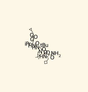 CC(C)[C@@H](COC(=O)OCC1CC1)NC(=O)N[C@H](C(=O)N1CC2C([C@H]1C(=O)NC(CC1CCC1)C(=O)C(N)=O)C2(C)C)C(C)(C)C